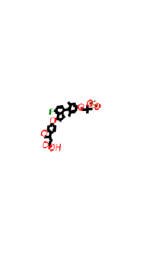 Cc1cc(OCC(C)(C)CS(C)(=O)=O)cc(C)c1-c1ccc(F)c2c1CC[C@H]2Oc1ccc2c(c1)OCC2CC(=O)O